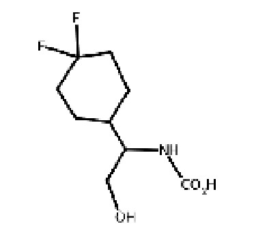 O=C(O)NC(CO)C1CCC(F)(F)CC1